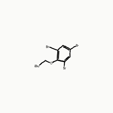 CCC(C)COc1c(Br)cc(Br)cc1Br